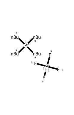 CCCC[P+](CCCC)(CCCC)CCCC.F[PH-](F)(F)F